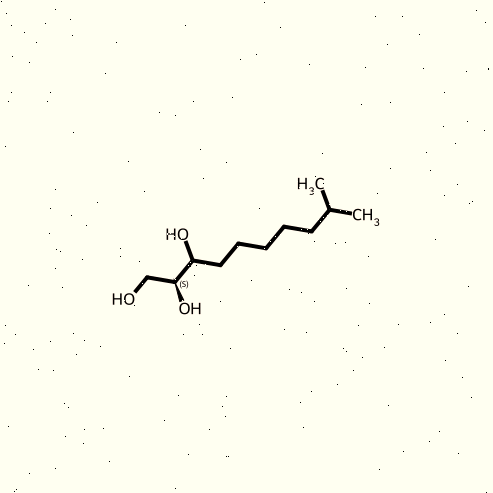 CC(C)CCCCCC(O)[C@@H](O)CO